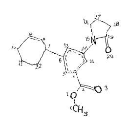 COC(=O)c1cc(C2C=CCCC2)cc(N2CCCC2=O)c1